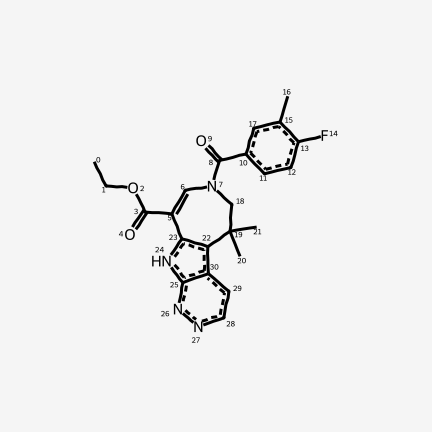 CCOC(=O)C1=CN(C(=O)c2ccc(F)c(C)c2)CC(C)(C)c2c1[nH]c1nnccc21